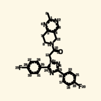 Cc1ncc2c(n1)CCN(C(=O)Cn1nc(-c3ccc(F)cc3)nc1-c1ccc(F)cc1)C2